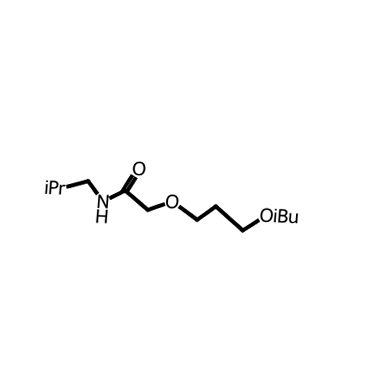 CC(C)CNC(=O)COCCCOCC(C)C